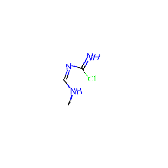 CN/C=N\C(=N)Cl